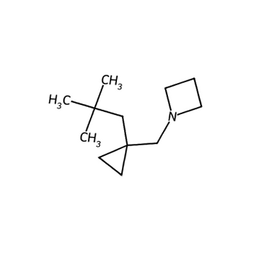 CC(C)(C)CC1(CN2CCC2)CC1